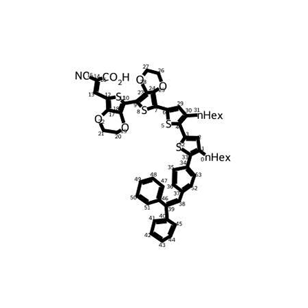 CCCCCCc1cc(-c2sc(-c3sc(-c4sc(/C=C(/C#N)C(=O)O)c5c4OCCO5)c4c3OCCO4)cc2CCCCCC)sc1-c1ccc(C=C(c2ccccc2)c2ccccc2)cc1